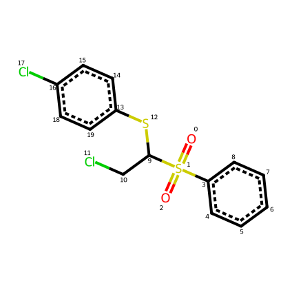 O=S(=O)(c1ccccc1)C(CCl)Sc1ccc(Cl)cc1